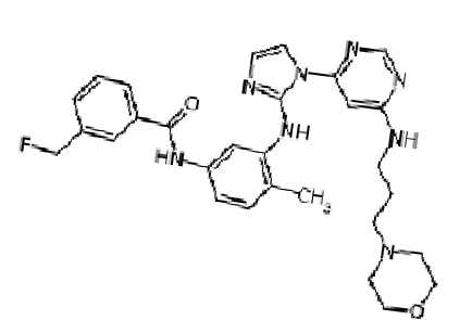 Cc1ccc(NC(=O)c2cccc(CF)c2)cc1Nc1nccn1-c1cc(NCCCN2CCOCC2)ncn1